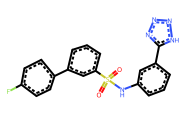 O=S(=O)(Nc1cccc(-c2nnn[nH]2)c1)c1cccc(-c2ccc(F)cc2)c1